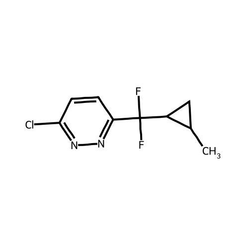 CC1CC1C(F)(F)c1ccc(Cl)nn1